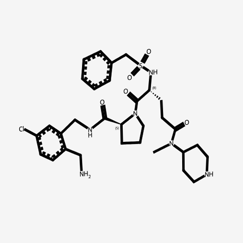 CN(C(=O)CC[C@@H](NS(=O)(=O)Cc1ccccc1)C(=O)N1CCC[C@H]1C(=O)NCc1cc(Cl)ccc1CN)C1CCNCC1